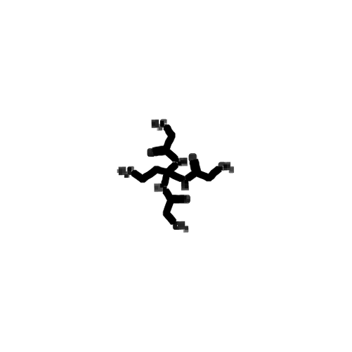 [CH2]CCC(NC(=O)CC)(NC(=O)CC)NC(=O)CC